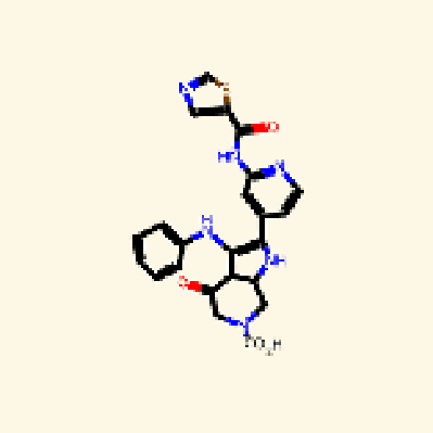 O=C(Nc1cc(C2=C(Nc3ccccc3)C3C(=O)CN(C(=O)O)CC3N2)ccn1)c1cncs1